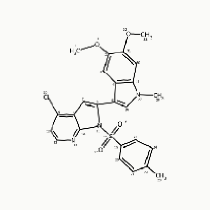 COc1cc2c(-c3cc4c(Cl)ccnc4n3S(=O)(=O)c3ccc(C)cc3)cn(C)c2cc1OC